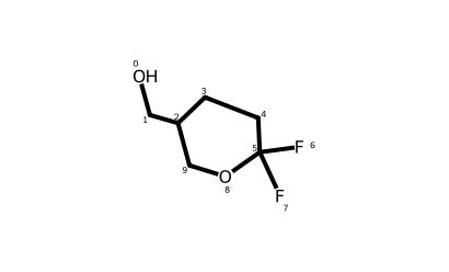 OCC1CCC(F)(F)OC1